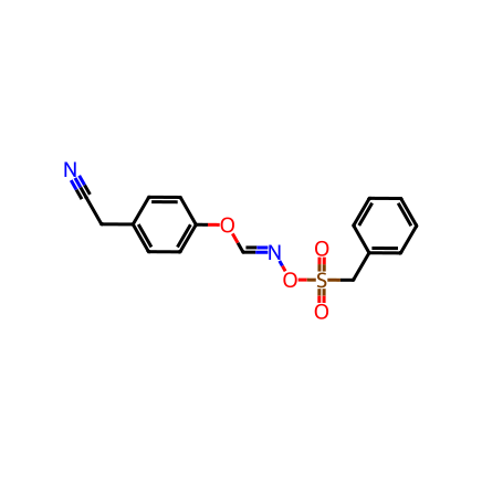 N#CCc1ccc(OC=NOS(=O)(=O)Cc2ccccc2)cc1